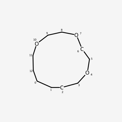 C1CCCOCCOCCOCC1